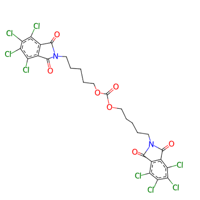 O=C(OCCCCCN1C(=O)c2c(Cl)c(Cl)c(Cl)c(Cl)c2C1=O)OCCCCCN1C(=O)c2c(Cl)c(Cl)c(Cl)c(Cl)c2C1=O